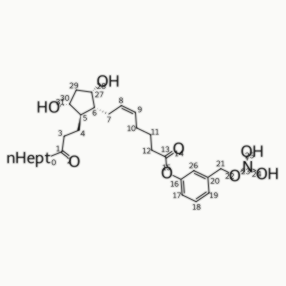 CCCCCCCC(=O)CC[C@@H]1[C@@H](C/C=C\CCCC(=O)Oc2cccc(CON(O)O)c2)[C@@H](O)C[C@H]1O